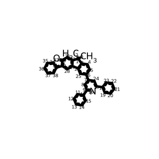 CC1(C)c2ccc(-c3cc(-c4ccccc4)nc(-c4ccccc4)c3)cc2-c2cc3c(cc21)oc1ccccc13